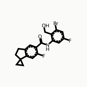 O=C(Nc1cc(F)cc(Br)c1CO)c1cc2c(cc1F)C1(CC2)CC1